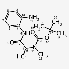 C[C@@H](C(=O)Nc1ccccc1N)N(C)C(=O)OC(C)(C)C